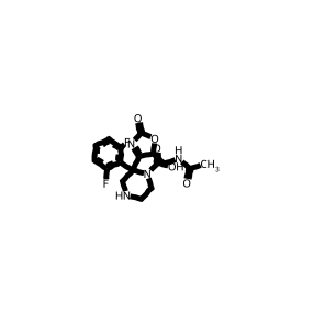 CC(=O)NCC1OC(=O)N=C1C1(c2c(F)cccc2F)CNCCN1C(=O)O